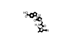 CC1CC(C#N)N(C(=O)C(N)CN2C[C@@H]3CC2C(=O)N3[C@H]2CCc3cc(C(=O)O)ccc32)C1C